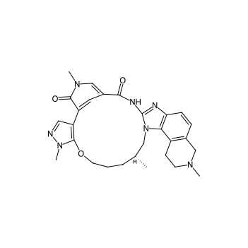 C[C@@H]1CCCOc2c(cnn2C)-c2cc(cn(C)c2=O)C(=O)Nc2nc3ccc4c(c3n2C1)CCN(C)C4